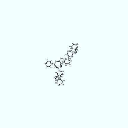 CCC1CC(c2ccccc2)N=C(c2ccc3c(c2)oc2ccccc23)N=C1c1cccc(-c2ccc3c(c2)oc2ccccc23)c1